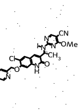 COc1nc(N(I)[C@@H](C)c2cc3cc(Cl)c(OCc4ccccn4)cc3[nH]c2=O)ncc1C#N